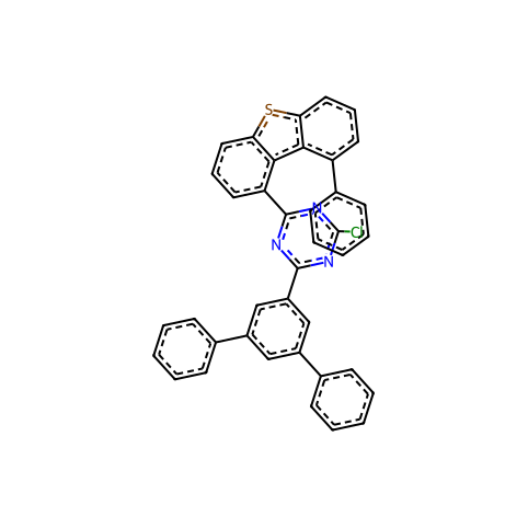 Clc1nc(-c2cc(-c3ccccc3)cc(-c3ccccc3)c2)nc(-c2cccc3sc4cccc(-c5ccccc5)c4c23)n1